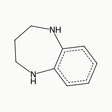 c1ccc2c(c1)NCCCN2